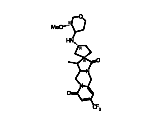 CO[C@@H]1COCCC1N[C@@H]1CC[C@@]2(C1)C(=O)N1Cc3cc(C(F)(F)F)cc(=O)n3CC1C2C